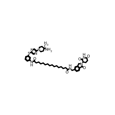 CC1(N)CCN(c2cnc(Sc3cccc(NC(=O)CCCCCCCCCCCCCCC(=O)NCc4ccc5c(c4)CN(C4CCC(=O)NC4=O)C5=O)c3)cn2)CC1